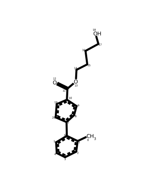 Cc1ccccc1-c1ccc(C(=O)OCCCCO)cc1